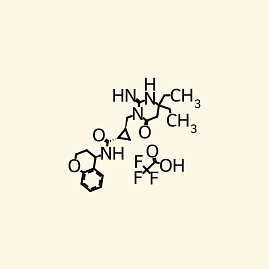 CCC1(CC)CC(=O)N(C[C@H]2C[C@@H]2C(=O)N[C@@H]2CCOc3ccccc32)C(=N)N1.O=C(O)C(F)(F)F